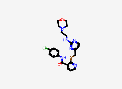 O=C(Nc1ccc(Cl)cc1)c1cccnc1SCc1ccnc(NCCN2CCOCC2)n1